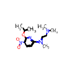 CC(C)Oc1nc(N(C)CCN(C)C)ccc1[N+](=O)[O-]